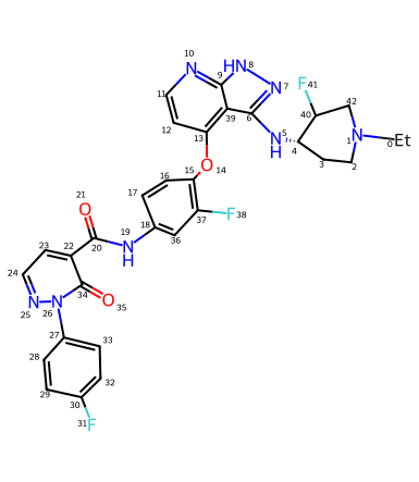 CCN1CC[C@H](Nc2n[nH]c3nccc(Oc4ccc(NC(=O)c5ccnn(-c6ccc(F)cc6)c5=O)cc4F)c23)C(F)C1